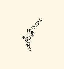 N#Cc1cc(-c2ncnc(Nc3ccc(N4CCN(C5COC5)CC4)cc3)n2)ccc1OC1CCN(C2COC2)CC1F